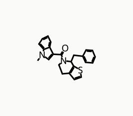 Cn1cc(C(=O)N2CCc3ccsc3C2Cc2ccccc2)c2ccccc21